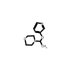 CC(Oc1[c]nccc1)N1CCOCC1